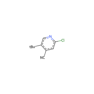 CC(C)(C)c1cnc(Cl)cc1C#N